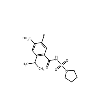 CN(C)c1cc(C(=O)O)c(F)cc1C(=O)NS(=O)(=O)N1CCCC1